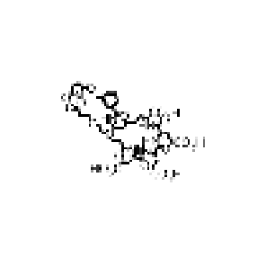 O=C(O)CC[C@@H](NC(=O)CCOCCOCCC(=O)ON1C(=O)CCC1=O)C(=O)N[C@H](CCC(=O)O)C(=O)N[C@H](CCC(=O)O)C(=O)N[C@H](CCCCCNC(=O)c1cccc(I)c1)C(=O)O